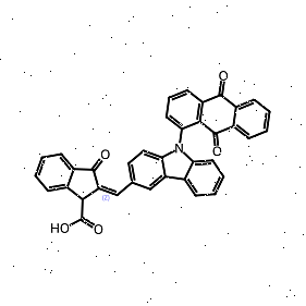 O=C1/C(=C\c2ccc3c(c2)c2ccccc2n3-c2cccc3c2C(=O)c2ccccc2C3=O)C(C(=O)O)c2ccccc21